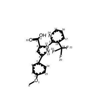 COc1ccc(-c2cc(C(=O)O)n(-c3ncccc3C(F)(F)F)n2)cc1